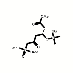 COC(=O)C[C@@H](CC(=O)CP(=O)(OC)OC)O[Si](C)(C)C(C)(C)C